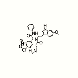 COc1ccc2c(CCN(C(=O)CCN)C(C(=O)Nc3ccccc3)c3ccc(Cl)c([N+](=O)[O-])c3)c[nH]c2c1